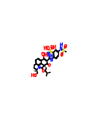 CC(C)CC[C@@]1(C(=O)N2CCC[C@@H]2CO)C(=O)C(C2=NS(O)(O)c3cc(NS(C)(=O)=O)ccc3N2)=C(O)c2ccccc21